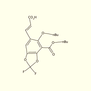 CCCCOC(=O)c1c(OCCCC)c(/C=C/C(=O)O)cc2c1OC(F)(F)O2